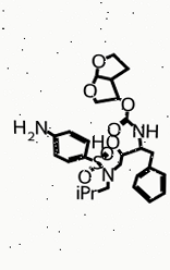 CC(C)CN(CC(O)C(Cc1ccccc1)NC(=O)O[C@H]1COC2OCCC21)S(=O)(=O)c1ccc(N)cc1